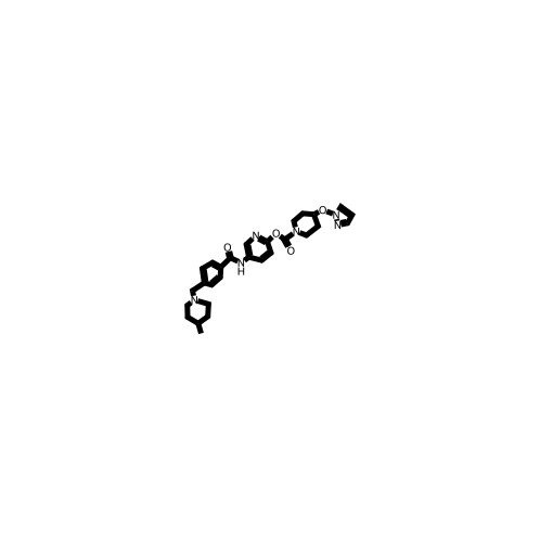 CC1CCN(Cc2ccc(C(=O)Nc3ccc(OC(=O)N4CCC(On5cccn5)CC4)nc3)cc2)CC1